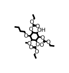 CCCCOC1C(OC(=O)OCC)C(O)C(OC(=O)OCC)C(OC(=O)OCC)C1OC